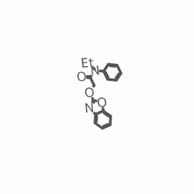 CCN(C(=O)COc1nc2ccccc2o1)c1ccccc1